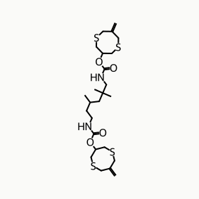 C=C1CSCC(OC(=O)NCCC(C)CC(C)(C)CNC(=O)OC2CSCC(=C)CSC2)CSC1